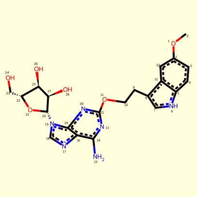 COc1ccc2[nH]cc(CCOc3nc(N)c4ncn([C@@H]5O[C@H](CO)[C@@H](O)[C@H]5O)c4n3)c2c1